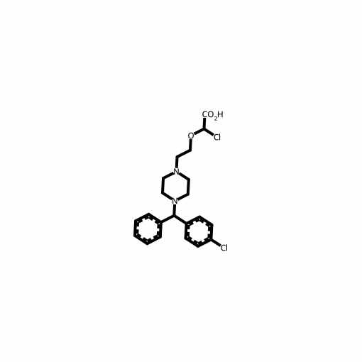 O=C(O)C(Cl)OCCN1CCN(C(c2ccccc2)c2ccc(Cl)cc2)CC1